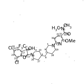 COc1nc(N2CCC(CC3CCN(C(=O)C(O)(c4cc(Cl)cc(Cl)c4)C(F)(F)F)CC3)CC2)ccc1C(=O)N(C)C